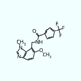 COc1ccc2ncn(C)c2c1CNC(=O)c1ccc(C(F)(F)F)cc1